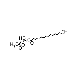 CCCCCCCCCCCCCCCC(=O)OC[C@@H](O)[C@@H]1C=C(C)C(=O)O1